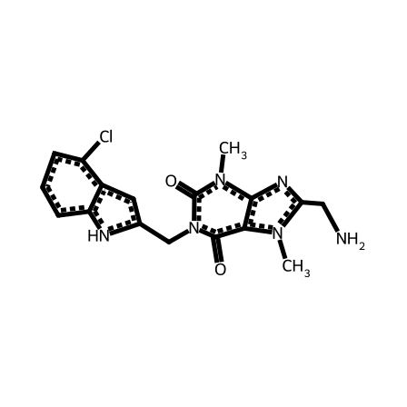 Cn1c(CN)nc2c1c(=O)n(Cc1cc3c(Cl)cccc3[nH]1)c(=O)n2C